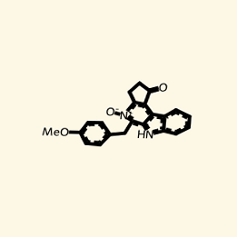 COc1ccc(Cc2c3[nH]c4ccccc4c3c3c([n+]2[O-])CCC3=O)cc1